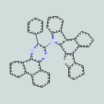 c1ccc(-c2nc3c4ccccc4c4ccccc4c3nc2-n2c3ccccc3c3c4ccccc4c4c5ccccc5sc4c32)cc1